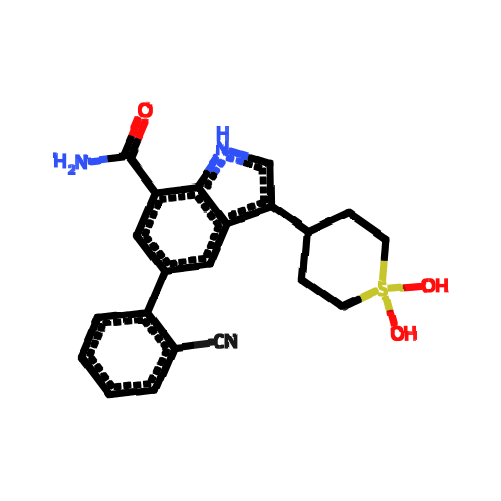 N#Cc1ccccc1-c1cc(C(N)=O)c2[nH]cc(C3CCS(O)(O)CC3)c2c1